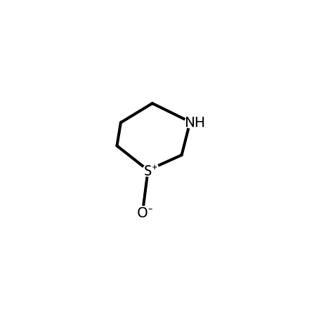 [O-][S+]1CCCNC1